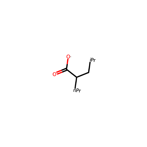 CCCC(CC(C)C)C([O])=O